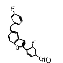 O=Cc1ccc(-c2cc3cc(Cc4cccc(F)c4)ccc3o2)c(F)c1